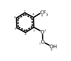 OOOc1ccccc1C(F)(F)F